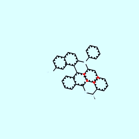 COc1ccc2ccc(P(c3ccccc3)c3ccccc3)c(-c3nnc(N[C@H](C)c4ccccc4)c4ccccc34)c2c1